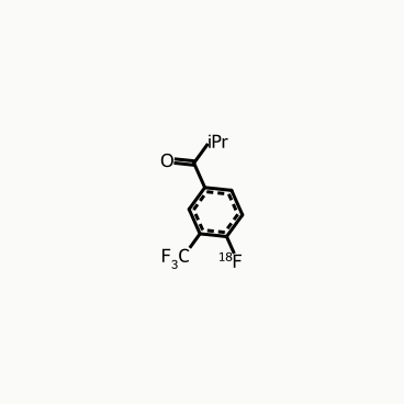 CC(C)C(=O)c1ccc([18F])c(C(F)(F)F)c1